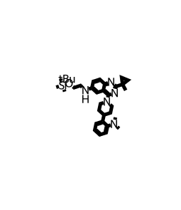 CN(C)c1ccccc1C1CCN(c2nc(C3(C)CC3)nc3ccc(NCCO[Si](C)(C)C(C)(C)C)cc23)CC1